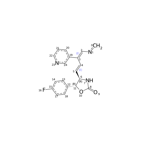 C=N/C=C(\C=C\[C@H]1NC(=O)O[C@@H]1c1ccc(F)cc1)c1cccnc1